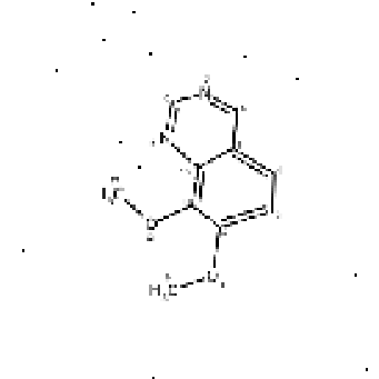 COc1ccc2[c]ncnc2c1OC